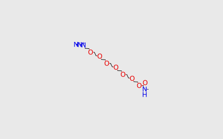 CNC(=O)OCCOCCOCCOCCOCCOCCOCCN=[N+]=[N-]